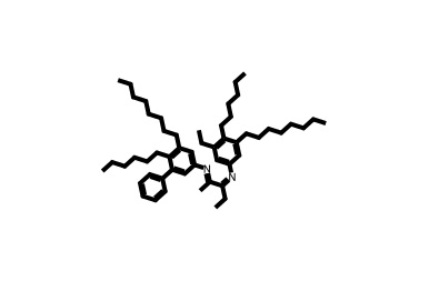 CCCCCCCCc1cc(N=C(CC)C(C)=Nc2cc(CCCCCCCC)c(CCCCCC)c(-c3ccccc3)c2)cc(CC)c1CCCCCC